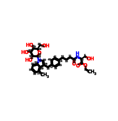 CCOC(=O)[C@H](CO)NC(=O)CCCc1ccc(Cc2cn([C@@H]3O[C@H](CO)[C@@H](O)[C@H](O)[C@H]3O)c3cccc(C)c23)cc1